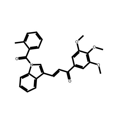 COc1cc(C(=O)C=Cc2cn(C(=O)c3ccccc3C)c3ccccc23)cc(OC)c1OC